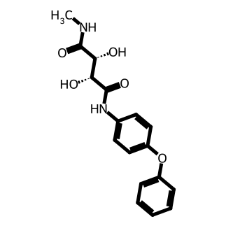 CNC(=O)[C@H](O)[C@@H](O)C(=O)Nc1ccc(Oc2ccccc2)cc1